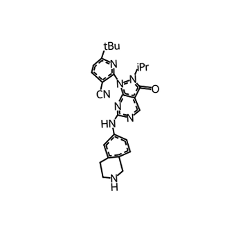 CC(C)n1c(=O)c2cnc(Nc3ccc4c(c3)CCNC4)nc2n1-c1nc(C(C)(C)C)ccc1C#N